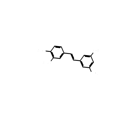 CC(=O)Oc1cc(/C=C/c2ccc(OC(C)=O)c(OC(C)=O)c2)cc(OC(C)=O)c1